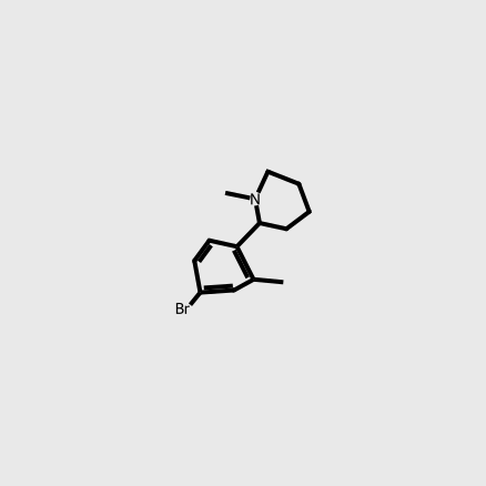 Cc1cc(Br)ccc1C1CCCCN1C